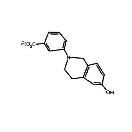 CCOC(=O)c1cccc(N2CCc3cc(O)ccc3C2)c1